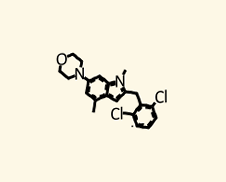 Cc1cc(N2CCOCC2)cc2c1cc(Cc1c(Cl)[c]ccc1Cl)n2C